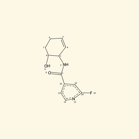 O=C(NC1C=CCCC1O)c1ccnc(F)c1